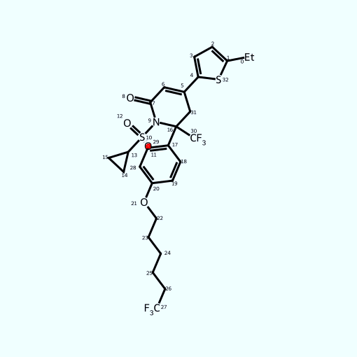 CCc1ccc(C2=CC(=O)N(S(=O)(=O)C3CC3)C(c3ccc(OCCCCCC(F)(F)F)cc3)(C(F)(F)F)C2)s1